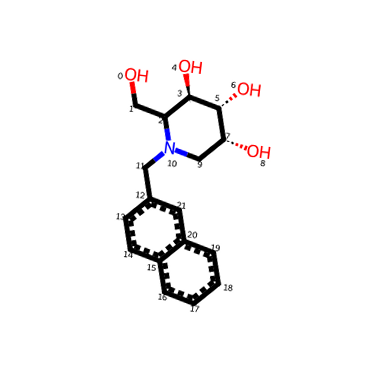 OCC1[C@@H](O)[C@H](O)[C@H](O)CN1Cc1ccc2ccccc2c1